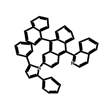 c1ccc(-c2ccc(-c3ccccc3)n2-c2ccc3c(-c4nccc5ccccc45)c4ccccc4c(-c4cccc5ccccc45)c3c2)cc1